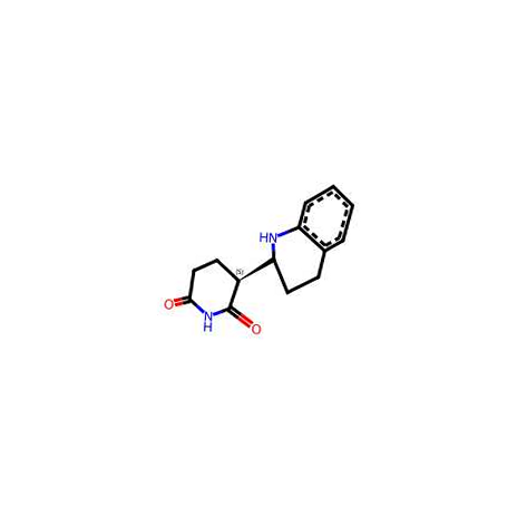 O=C1CC[C@@H](C2CCc3ccccc3N2)C(=O)N1